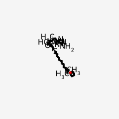 C[C@H](Cn1cnc2c(N)ncnc21)OCP(=O)(O)OCCCSCCCCCCCCCCCS(C)(C)C1CC2CCC1C2